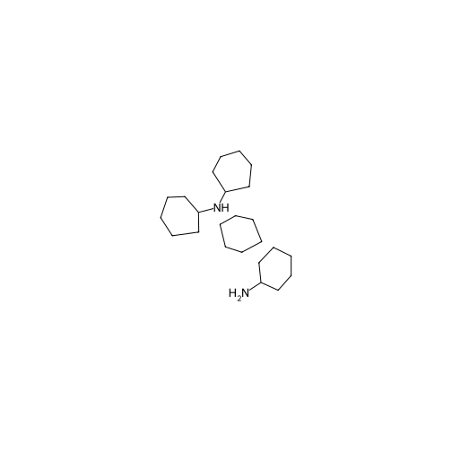 C1CCC(NC2CCCCC2)CC1.C1CCCCC1.NC1CCCCC1